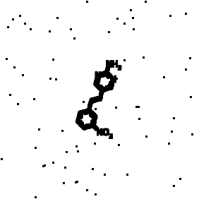 Nc1ncc(C=Cc2cccc([N+](=O)[O-])c2)cn1